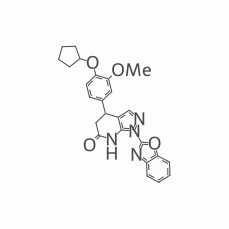 COc1cc(C2CC(=O)Nc3c2cnn3-c2nc3ccccc3o2)ccc1OC1CCCC1